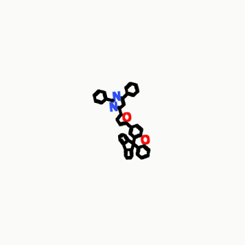 C1=C(c2ccc3c(c2)C2(c4ccccc4O3)c3ccccc3-c3ccccc32)OC(c2cc(-c3ccccc3)nc(-c3ccccc3)n2)C1